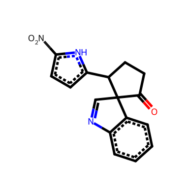 O=C1CCC(c2ccc([N+](=O)[O-])[nH]2)C12C=Nc1ccccc12